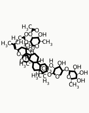 CC(=O)O[C@@H]1[C@@H](O)[C@H](C)O[C@@H](O[C@@]2(C)C[C@H](C=C(C)C)O[C@]34C[C@]5(CO3)[C@H](CC[C@@H]3[C@@]6(C)CC[C@H](O[C@@H]7OC[C@H](O[C@@H]8O[C@@H](C)[C@H](O)[C@@H](O)[C@H]8O)[C@H](O)[C@H]7O)C(C)(C)[C@@H]6CC[C@]35C)[C@H]42)[C@@H]1OC(C)=O